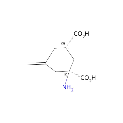 C=C1C[C@H](C(=O)O)C[C@](N)(C(=O)O)C1